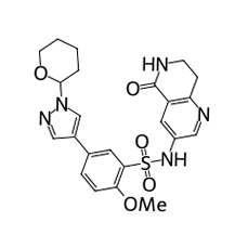 COc1ccc(-c2cnn(C3CCCCO3)c2)cc1S(=O)(=O)Nc1cnc2c(c1)C(=O)NCC2